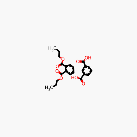 CCCOC(=O)c1ccccc1C(=O)OCCC.O=C(O)c1cccc(C(=O)O)c1